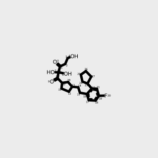 O=C(CCO)C(O)(O)C(=O)C1CCC(CCc2ccc(F)cc2C2CCCC2)C1